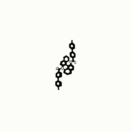 Cc1ccc(-c2ccc(C(=O)Oc3ccc4c(c3-c3c(OC(=O)c5ccc(-c6ccc(C)cc6)cc5)ccc5c3CCCC5)CCCC4)cc2)cc1